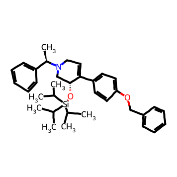 CC(C)[Si](O[C@@H]1CN([C@H](C)c2ccccc2)CC=C1c1ccc(OCc2ccccc2)cc1)(C(C)C)C(C)C